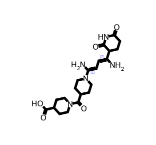 N/C(=C\C=C(/N)N1CCC(C(=O)N2CCC(C(=O)O)CC2)CC1)C1CCC(=O)NC1=O